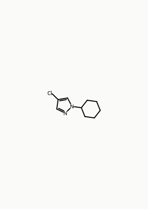 Clc1cnn(C2CCCCC2)c1